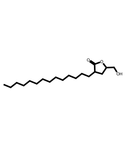 CCCCCCCCCCCCCCC1CC(CO)OC1=O